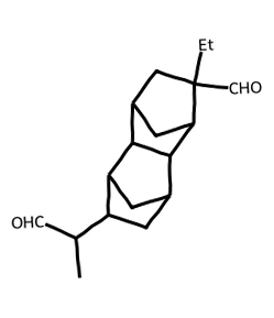 CCC1(C=O)CC2CC1C1C3CC(C(C)C=O)C(C3)C21